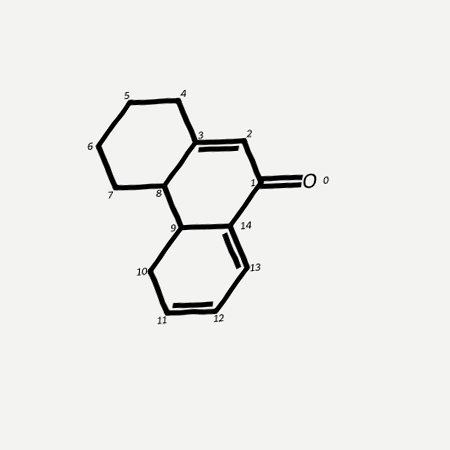 O=C1C=C2CCCCC2C2CC=CC=C12